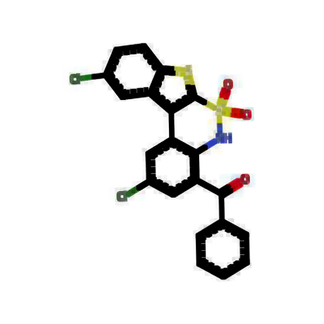 O=C(c1ccccc1)c1cc(Cl)cc2c1NS(=O)(=O)c1sc3ccc(Cl)cc3c1-2